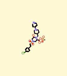 CS(=O)(=O)OC(=O)C1CN(S(=O)(=O)C=Cc2ccc(Cl)cc2)CC(=O)N1CC1CCN(c2ccncc2)CC1